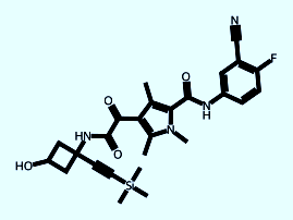 Cc1c(C(=O)C(=O)NC2(C#C[Si](C)(C)C)CC(O)C2)c(C)n(C)c1C(=O)Nc1ccc(F)c(C#N)c1